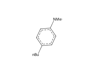 CCCCc1ccc([N]C)cc1